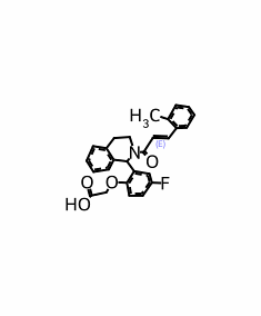 Cc1ccccc1/C=C/C(=O)N1CCc2ccccc2C1c1cc(F)ccc1OCC(=O)O